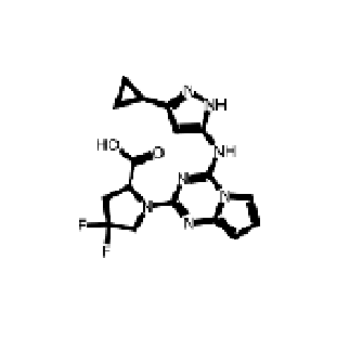 O=C(O)[C@@H]1CC(F)(F)CN1c1nc(Nc2cc(C3CC3)n[nH]2)n2cccc2n1